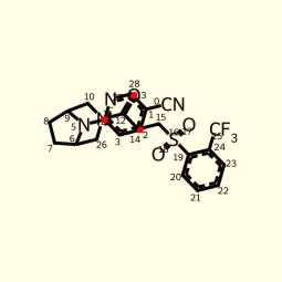 N#Cc1ccc(N2C3CCC2CN(C(=O)CCS(=O)(=O)c2ccccc2C(F)(F)F)C3)nc1